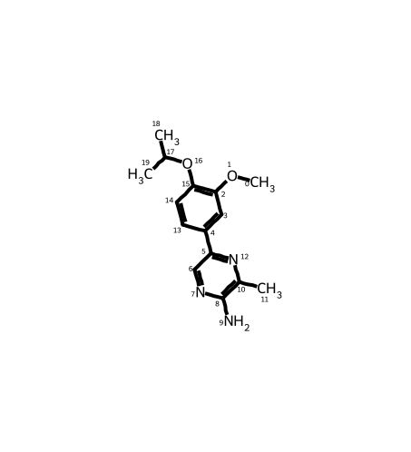 COc1cc(-c2cnc(N)c(C)n2)ccc1OC(C)C